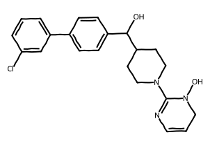 OC(c1ccc(-c2cccc(Cl)c2)cc1)C1CCN(C2=NC=CCN2O)CC1